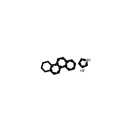 F.c1cc[nH]c1.c1ccc2c(c1)ccc1c3c(ccc12)CCCC3